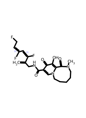 C=C(CNC(=O)c1cn2c(c(O)c1=O)C(=O)N(C)CCCCC2)/C(F)=C\C(F)=C/CF